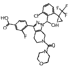 O=C(O)c1ccc(-c2nn(C(O)c3c(Cl)cccc3C3(C(F)(F)F)CC3)c3c2CCN(C(=O)N2CCOCC2)C3)c(F)c1